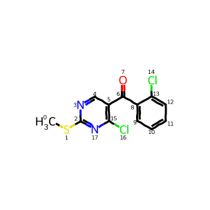 CSc1ncc(C(=O)c2ccccc2Cl)c(Cl)n1